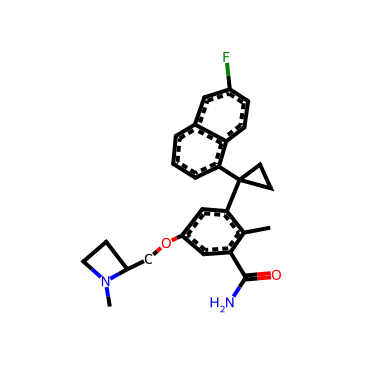 Cc1c(C(N)=O)cc(OCC2CCN2C)cc1C1(c2cccc3cc(F)ccc23)CC1